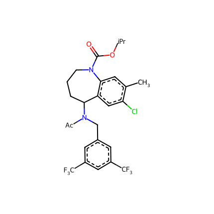 CC(=O)N(Cc1cc(C(F)(F)F)cc(C(F)(F)F)c1)C1CCCN(C(=O)OC(C)C)c2cc(C)c(Cl)cc21